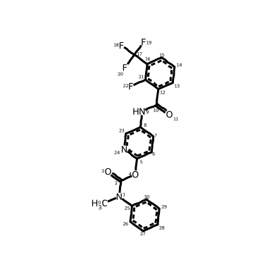 CN(C(=O)Oc1ccc(NC(=O)c2cccc(C(F)(F)F)c2F)cn1)c1ccccc1